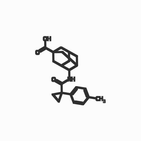 Cc1ccc(C2(C(=O)NC3C4CC5CC3CC(C(=O)O)(C5)C4)CC2)cc1